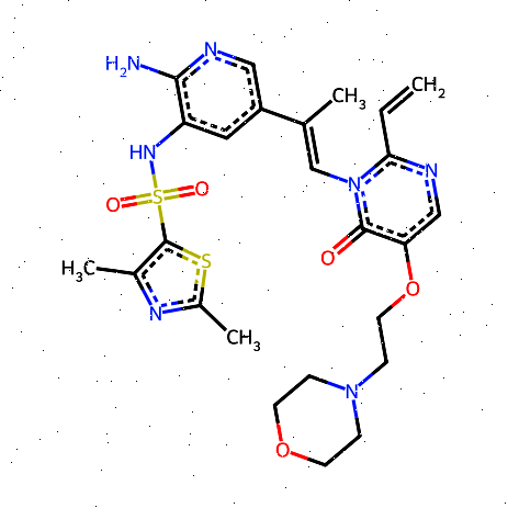 C=Cc1ncc(OCCN2CCOCC2)c(=O)n1/C=C(\C)c1cnc(N)c(NS(=O)(=O)c2sc(C)nc2C)c1